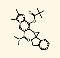 Cc1nc2c(OC(=O)C(C)(C)C)c(C3CC34CCc3ccccc34)c(C(=O)N(C)C)cn2c1C